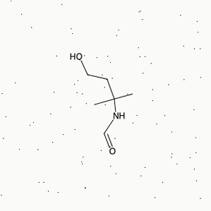 CC(C)(CCO)NC=O